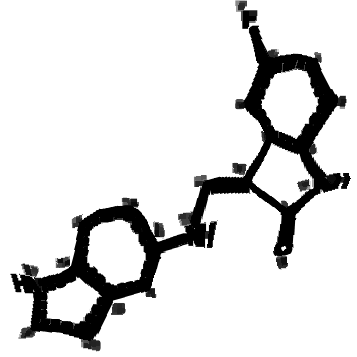 O=C1Nc2ccc(F)cc2C1=CNc1ccc2[nH]ccc2c1